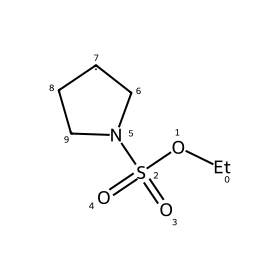 CCOS(=O)(=O)N1C[CH]CC1